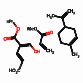 C=C(C)C1CC=C(C)CC1.C=CC(=O)OC.CCCOC(=O)C(C=CC(=O)O)=CO